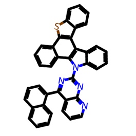 c1ccc2c(-c3nc(-n4c5ccccc5c5c6c7ccccc7sc6c6ccccc6c54)nc4ncccc34)cccc2c1